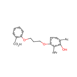 CCCc1c(OCCCOc2ccccc2C(=O)O)ccc(C(C)=O)c1O